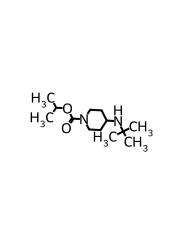 CC(C)OC(=O)N1CCC(NC(C)(C)C)CC1